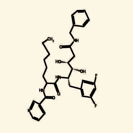 CCCCCCC(NC(=O)c1cccnc1)C(=O)N[C@@H](Cc1cc(F)cc(F)c1)[C@@H](O)[C@H](O)CC(=O)NCc1ccccc1